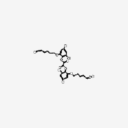 O=C=CCCCCOc1cc(Cl)cc(Cl)c1OC(=O)C(=O)Oc1c(Cl)cc(Cl)cc1OCCCCC=C=O